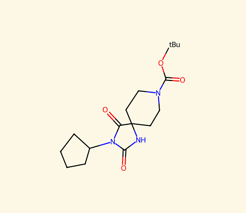 CC(C)(C)OC(=O)N1CCC2(CC1)NC(=O)N(C1CCCC1)C2=O